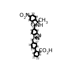 C[C@H](NC(=O)c1ccc2c(c1)nnn2Cc1ccc(-c2ccccc2C(=O)O)cc1)c1ccc([N+](=O)[O-])cc1